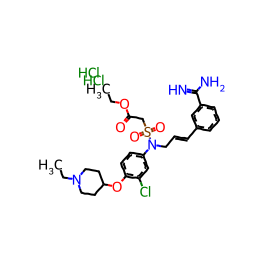 CCOC(=O)CS(=O)(=O)N(C/C=C/c1cccc(C(=N)N)c1)c1ccc(OC2CCN(CC)CC2)c(Cl)c1.Cl.Cl